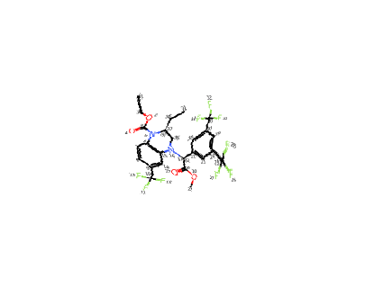 CCOC(=O)N1c2ccc(C(F)(F)F)cc2N([C@H](C(=O)OC)c2cc(C(F)(F)F)cc(C(F)(F)F)c2)C[C@@H]1CC